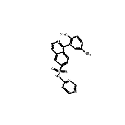 COc1ccc(C(F)(F)F)cc1-c1nccc2cc(S(=O)(=O)Nc3ccncn3)ccc12